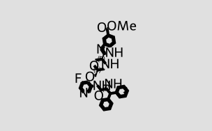 COC(=O)c1ccc2[nH]c([C@@H]3CO[C@H](COc4c(F)cncc4NC(=O)[C@@H](N)C(c4ccccc4)c4ccccc4)CN3)nc2c1